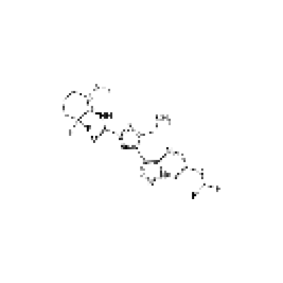 CCc1sc(C(=O)N[C@@H]2[C@@H](N)CCCC2(F)F)cc1-c1cnn2cc(OC(F)F)cnc12